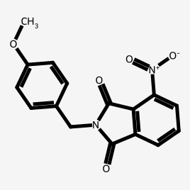 COc1ccc(CN2C(=O)c3cccc([N+](=O)[O-])c3C2=O)cc1